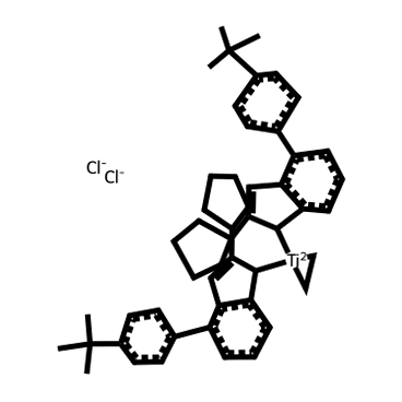 CC(C)(C)c1ccc(-c2cccc3c2C=C(C2CCCC2)[CH]3[Ti+2]2([CH]3C(C4CCCC4)=Cc4c(-c5ccc(C(C)(C)C)cc5)cccc43)[CH2][CH2]2)cc1.[Cl-].[Cl-]